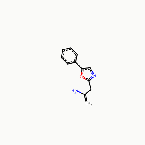 C=C(N)Cc1ncc(-c2ccccc2)o1